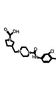 O=C(O)N1CCC(CN2CCN(C(=O)Nc3ccc(Cl)c(Cl)c3)CC2)C1